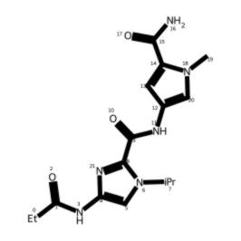 CCC(=O)Nc1cn(C(C)C)c(C(=O)Nc2cc(C(N)=O)n(C)c2)n1